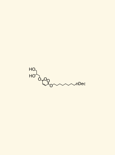 CCCCCCCCCCCCCCCCCCOC(=O)/C=C\C(=O)OCC(O)CO